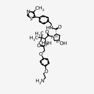 Cc1ncsc1-c1ccc(CNC(=O)[C@@H]2C[C@@H](O)CN2C(=O)C(NC(=O)COc2ccc(OCCN)cc2)C(C)(C)C)cc1